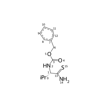 CC(C)[C@H](NC(=O)OCc1ccccc1)C(N)=S